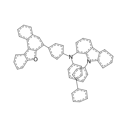 c1ccc(-c2ccc(N(c3ccc(-c4cc5ccccc5c5c4oc4ccccc45)cc3)c3cccc4c5ccccc5n(-c5ccccc5)c34)cc2)cc1